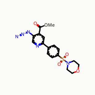 COC(=O)c1cc(-c2ccc(S(=O)(=O)N3CCOCC3)cc2)ncc1N=[N+]=[N-]